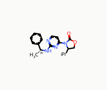 CC(C)C1COC(=O)N1c1ccnc(N[C@H](C)c2ccccc2)n1